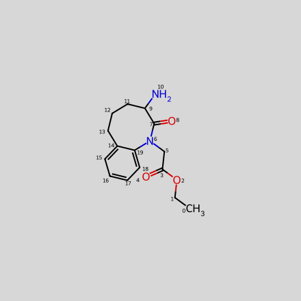 CCOC(=O)CN1C(=O)C(N)CCCc2ccccc21